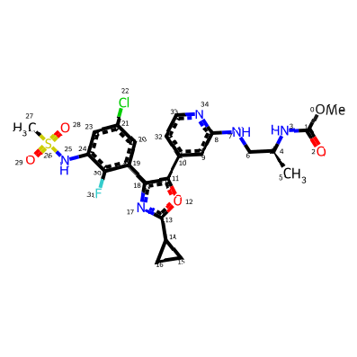 COC(=O)N[C@@H](C)CNc1cc(-c2oc(C3CC3)nc2-c2cc(Cl)cc(NS(C)(=O)=O)c2F)ccn1